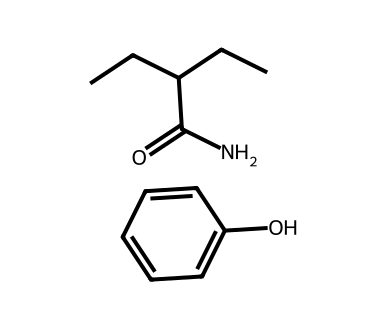 CCC(CC)C(N)=O.Oc1ccccc1